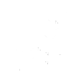 c1ccc(-c2nc(-n3c4ccc(-c5cccc6c5c5c7ccccc7ccc5n6-c5ccccc5)cc4c4cc5ccccc5cc43)c3sc(-c4ccccc4)cc3n2)cc1